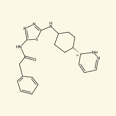 O=C(Cc1ccccc1)Nc1nnc(NC2CCC([C@H]3C=CC=NN3)CC2)s1